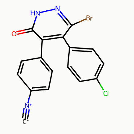 [C-]#[N+]c1ccc(-c2c(-c3ccc(Cl)cc3)c(Br)n[nH]c2=O)cc1